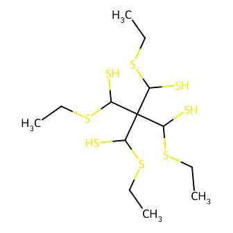 CCSC(S)C(C(S)SCC)(C(S)SCC)C(S)SCC